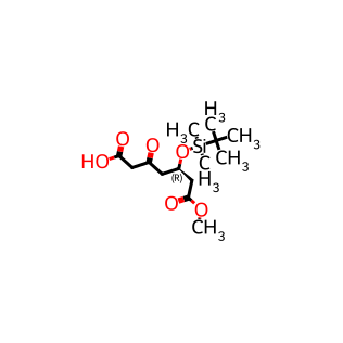 COC(=O)C[C@@H](CC(=O)CC(=O)O)O[Si](C)(C)C(C)(C)C